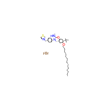 Br.CCCCCCCCCCCCCCOc1cc(CN(C(=O)NC)c2ccc(CN3C=CSC3)cc2)ccc1C(C)(C)C